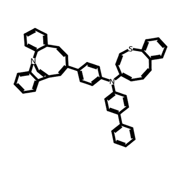 c1ccc(-c2ccc(N(c3cccc4ccccc4scc3)c3ccc(-c4ccc5ccccc5n5cc(c4)c4ccccc45)cc3)cc2)cc1